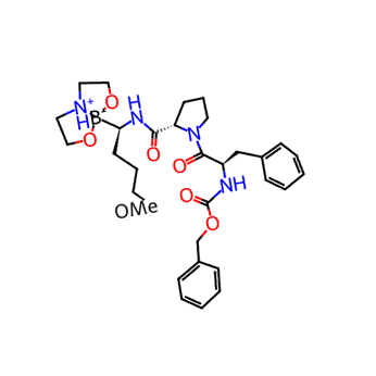 COCCC[C@H](NC(=O)[C@@H]1CCCN1C(=O)[C@@H](Cc1ccccc1)NC(=O)OCc1ccccc1)[B-]12OCC[NH+]1CCO2